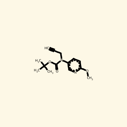 C#CCN(C(=O)OC(C)(C)C)c1ccc(OC)nc1